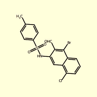 Cc1ccc(S(=O)(=O)Nc2cc3c(Cl)cccc3c(Br)c2C=O)cc1